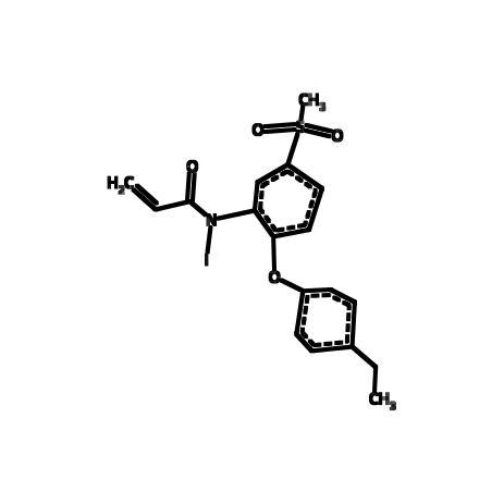 C=CC(=O)N(I)c1cc(S(C)(=O)=O)ccc1Oc1ccc(CC)cc1